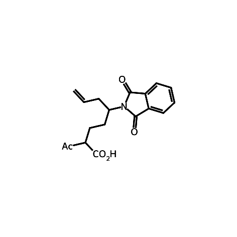 C=CCC(CCC(C(C)=O)C(=O)O)N1C(=O)c2ccccc2C1=O